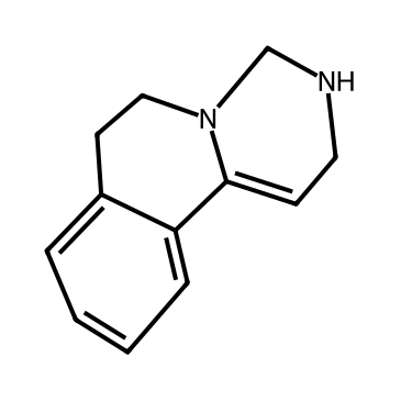 C1=C2c3ccccc3CCN2CNC1